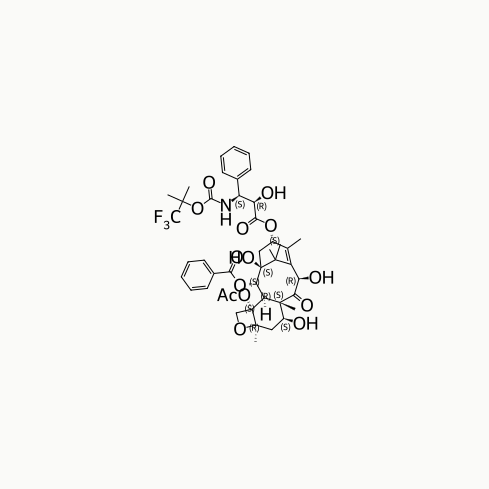 CC(=O)O[C@@]12CO[C@]1(C)C[C@H](O)[C@@]1(C)C(=O)[C@H](O)C3=C(C)[C@@H](OC(=O)[C@H](O)[C@@H](NC(=O)OC(C)(C)C(F)(F)F)c4ccccc4)C[C@@](O)([C@@H](OC(=O)c4ccccc4)[C@@H]12)C3(C)C